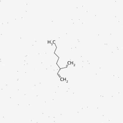 C=C[C](C=C)CCCCC